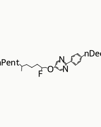 CCCCCCCCCCc1ccc(-c2ncc(OCC(F)CCCC(C)CCCCC)cn2)cc1